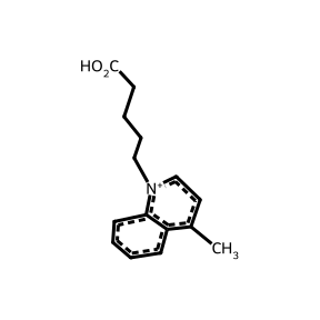 Cc1cc[n+](CCCCC(=O)O)c2ccccc12